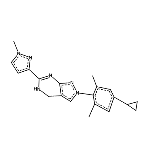 Cc1cc(C2CC2)cc(C)c1-n1cc2c(n1)N=C(c1ccn(C)n1)NC2